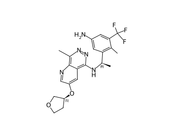 Cc1c([C@@H](C)Nc2nnc(C)c3ncc(O[C@H]4CCOC4)cc23)cc(N)cc1C(F)(F)F